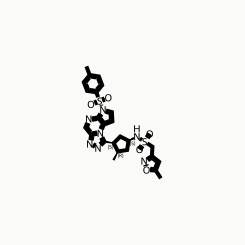 Cc1ccc(S(=O)(=O)n2ccc3c2ncc2nnc([C@H]4C[C@@H](NS(=O)(=O)Cc5cc(C)on5)C[C@H]4C)n23)cc1